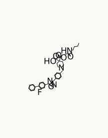 CCCCNC(=O)COC(=O)C1(C(=O)O)CCN(Cc2ccc(-c3noc(-c4ccc(-c5ccccc5)c(F)c4)n3)cc2)CC1